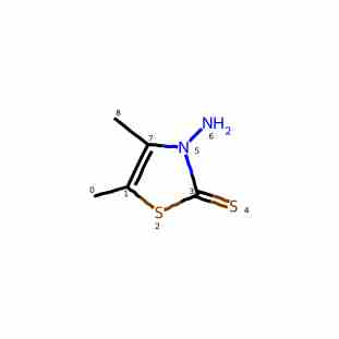 Cc1sc(=S)n(N)c1C